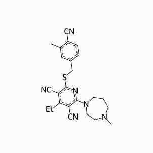 CCc1c(C#N)c(SCc2ccc(C#N)c(C)c2)nc(N2CCCN(C)CC2)c1C#N